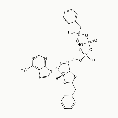 Nc1ncnc2c1ncn2[C@@H]1O[C@H](COP(=O)(O)OP(=O)(O)OP(=O)(O)Cc2ccccc2)C2OC(Cc3ccccc3)O[C@@H]21